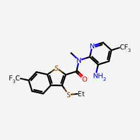 CCSc1c(C(=O)N(C)c2ncc(C(F)(F)F)cc2N)sc2cc(C(F)(F)F)ccc12